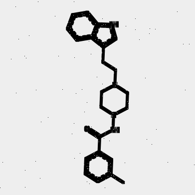 Cc1cccc(C(=O)NN2CCN(CCc3c[nH]c4ccccc34)CC2)c1